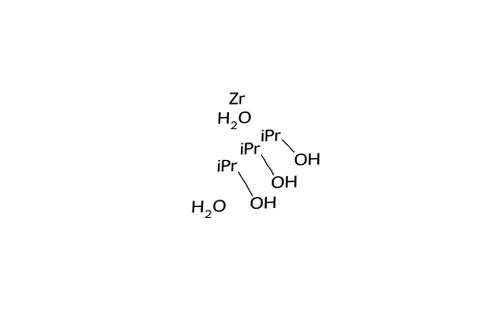 CC(C)O.CC(C)O.CC(C)O.O.O.[Zr]